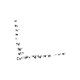 [Ca+2].[H-].[H-].[H-].[H-].[H-].[H-].[H-].[H-].[H-].[H-].[H-].[H-].[Ni+2].[Ni+2].[Ni+2].[Ni+2].[Ni+2]